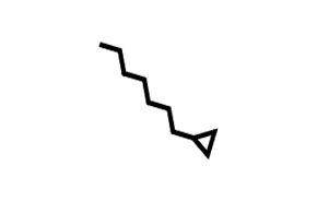 CCCCCCC[C]1CC1